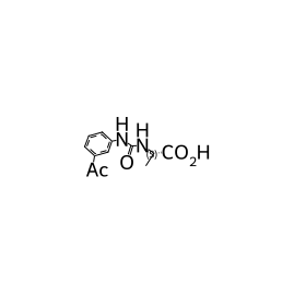 CC(=O)c1cccc(NC(=O)N[C@@H](C)C(=O)O)c1